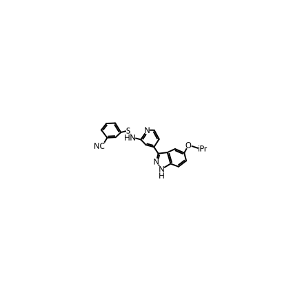 CC(C)Oc1ccc2[nH]nc(-c3ccnc(NSc4cccc(C#N)c4)c3)c2c1